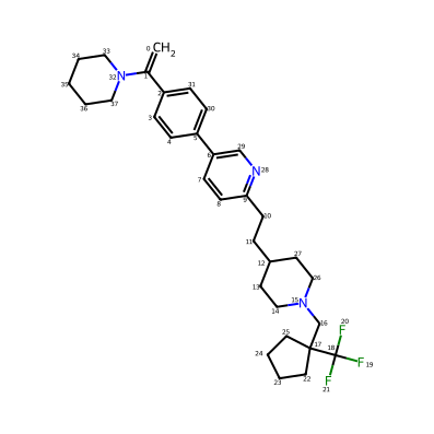 C=C(c1ccc(-c2ccc(CCC3CCN(CC4(C(F)(F)F)CCCC4)CC3)nc2)cc1)N1CCCCC1